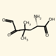 CC(C)(C[C@H](N)C(=O)O)C(=O)C=O